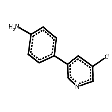 Nc1ccc(-c2cncc(Cl)c2)cc1